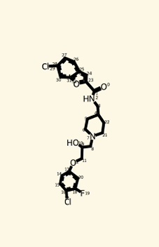 O=C(NCC1CCN(CC(O)COc2ccc(Cl)c(F)c2)CC1)c1cc2ccc(Cl)cc2o1